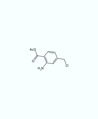 CC(=O)OC(=O)c1ccc(CCl)cc1N